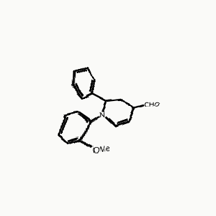 COc1ccccc1N1C=CC(C=O)CC1c1ccccc1